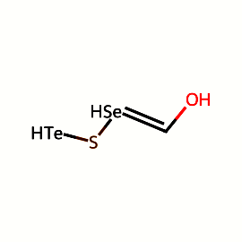 OC=[SeH]S[TeH]